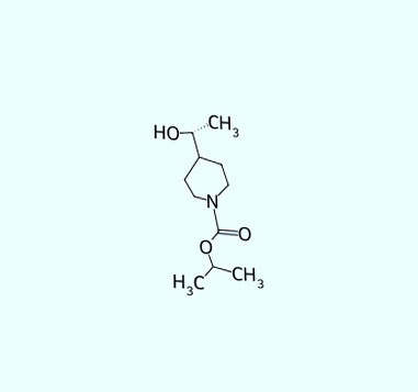 CC(C)OC(=O)N1CCC([C@@H](C)O)CC1